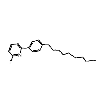 CCCCCCCCCc1ccc(-c2cccc(F)n2)cc1